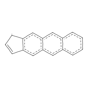 [CH]1C=Cc2cc3cc4ccccc4cc3cc21